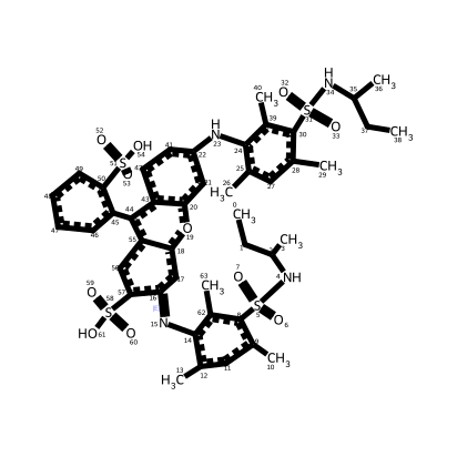 CCC(C)NS(=O)(=O)c1c(C)cc(C)c(/N=c2\cc3oc4cc(Nc5c(C)cc(C)c(S(=O)(=O)NC(C)CC)c5C)ccc4c(-c4ccccc4S(=O)(=O)O)c-3cc2S(=O)(=O)O)c1C